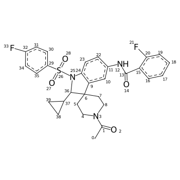 CC(=O)N1CCC2(CC1)c1cc(NC(=O)c3ccccc3F)ccc1N(S(=O)(=O)c1ccc(F)cc1)C2C1CC1